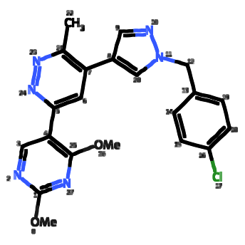 COc1ncc(-c2cc(-c3cnn(Cc4ccc(Cl)cc4)c3)c(C)nn2)c(OC)n1